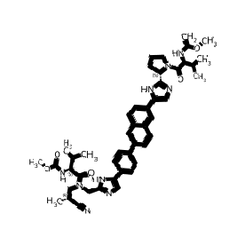 C=C(NC(C(=O)N1CCC[C@H]1c1ncc(-c2ccc3cc(-c4ccc(-c5cnc(CN(C[C@@H](C)C#N)C(=O)[C@@H](NC(=O)OC)C(C)C)[nH]5)cc4)ccc3c2)[nH]1)C(C)C)OC